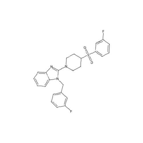 O=S(=O)(c1cccc(F)c1)C1CCN(c2nc3ccccc3n2Cc2cccc(F)c2)CC1